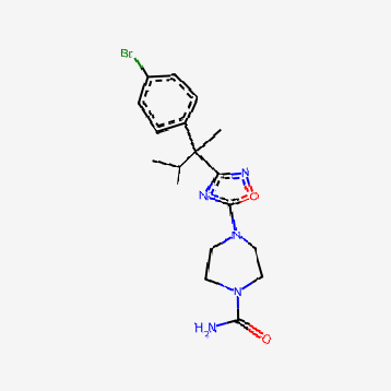 CC(C)C(C)(c1ccc(Br)cc1)c1noc(N2CCN(C(N)=O)CC2)n1